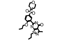 CCCOc1ccc(S(=O)(=O)N2CCOCC2)cc1C1=Nc2c(c(C)nn2CCC)C(=O)[N]1